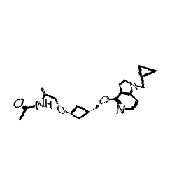 CC(=O)N[C@@H](C)CO[C@H]1C[C@H](COc2nccc3c2CCN3CC2CC2)C1